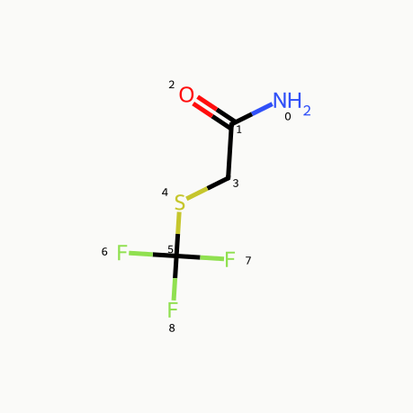 NC(=O)CSC(F)(F)F